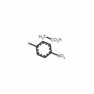 CC(=O)O.O=[N+]([O-])c1ccc(I)cc1